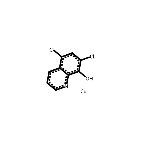 Oc1c(Cl)cc(Cl)c2cccnc12.[Cu]